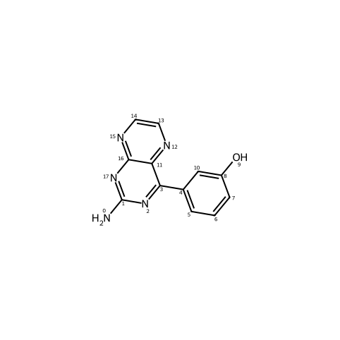 Nc1nc(-c2cccc(O)c2)c2nccnc2n1